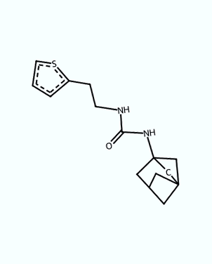 O=C(NCCc1cccs1)NC12CC3CC(C3)(C1)C2